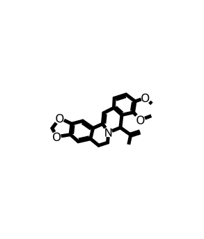 C=C(C)C1c2c(ccc(OC)c2OC)C=C2c3cc4c(cc3CCN21)OCO4